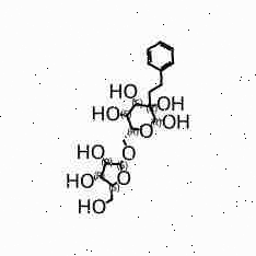 OC[C@@H]1O[C@H](OC[C@H]2O[C@@H](O)[C@@](O)(CCc3ccccc3)[C@@H](O)[C@@H]2O)[C@H](O)[C@H]1O